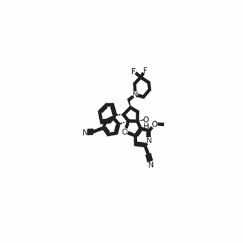 COc1nc(C#N)cc2c1[C@]1(O)C[C@H](CN3CCCC(F)(F)C3)[C@@H](c3ccccc3)[C@]1(c1ccc(C#N)cc1)O2